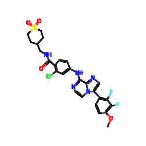 COc1ccc(-c2cnc3c(Nc4ccc(C(=O)NCC5CCS(=O)(=O)CC5)c(Cl)c4)nccn23)c(F)c1F